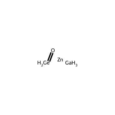 [GaH3].[O]=[GeH2].[Zn]